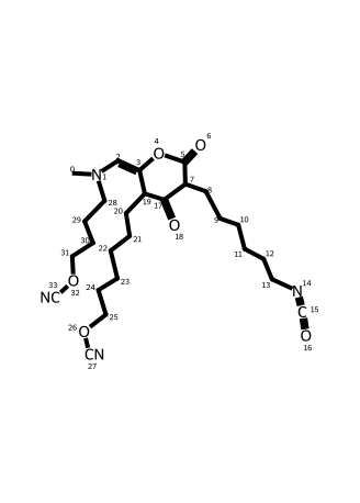 CN(/C=C1/OC(=O)C(CCCCCCN=C=O)C(=O)C1CCCCCCOC#N)CCCCOC#N